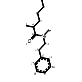 CCCCC(C)C(=O)N(C)CCc1ccccc1